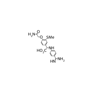 CSc1cc(C(Nc2ccc(C(=N)N)cc2)C(=O)O)ccc1OCC(N)=O